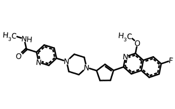 CNC(=O)c1ccc(N2CCN(C3C=C(c4cc5ccc(F)cc5c(OC)n4)CC3)CC2)cn1